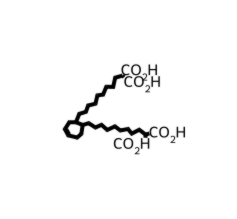 O=C(O)C(CCCCCCCCCC1CC=CCCC1CCCCCCCCCC(C(=O)O)C(=O)O)C(=O)O